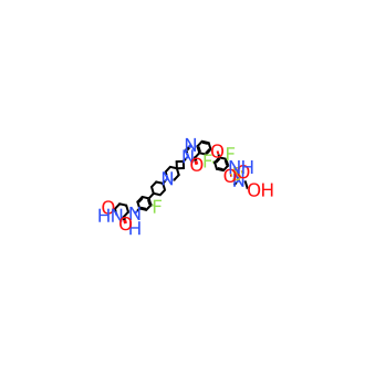 CN(CCO)S(=O)(=O)Nc1ccc(F)c(Oc2ccc3ncn(C4CC5(CCN(C6CCC(c7ccc(NC8CCC(=O)NC8=O)cc7F)CC6)CC5)C4)c(=O)c3c2)c1F